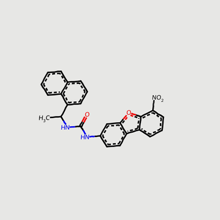 CC(NC(=O)Nc1ccc2c(c1)oc1c([N+](=O)[O-])cccc12)c1cccc2ccccc12